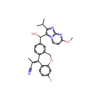 COc1ccn2c(C(O)c3ccc4c(c3)COc3cc(F)ccc3/C4=C(/C)C#N)c(C(C)C)nc2n1